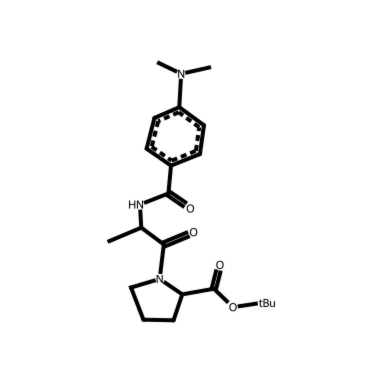 CC(NC(=O)c1ccc(N(C)C)cc1)C(=O)N1CCCC1C(=O)OC(C)(C)C